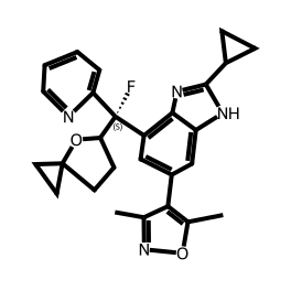 Cc1noc(C)c1-c1cc([C@](F)(c2ccccn2)C2CCC3(CC3)O2)c2nc(C3CC3)[nH]c2c1